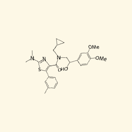 COc1ccc(C(O)CN(CC2CC2)C(=O)c2nc(N(C)C)sc2-c2cccc(C)c2)cc1OC